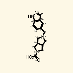 O=C(O)N1CC2CN(Cc3ccc4[nH]ncc4c3)CC2C1